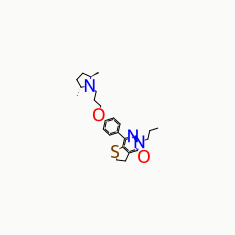 CCCn1nc(-c2ccc(OCCCN3[C@H](C)CC[C@H]3C)cc2)c2c(c1=O)CCS2